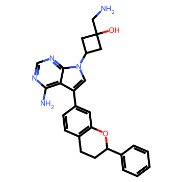 NCC1(O)CC(n2cc(-c3ccc4c(c3)OC(c3ccccc3)CC4)c3c(N)ncnc32)C1